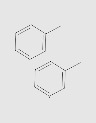 Cc1c[c]ccc1.Cc1ccccc1